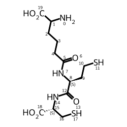 NC(CCCC(=O)N[C@@H](CCS)C(=O)N[C@H](CS)C(=O)O)C(=O)O